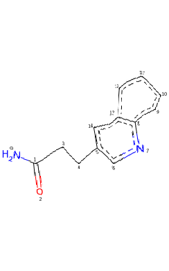 NC(=O)CCc1cnc2ccccc2c1